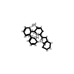 CC(C)C1=CCC(C2CC3=C(CCCC3)O2)NC1C1CC=CC=C1C1=CC=CCC1